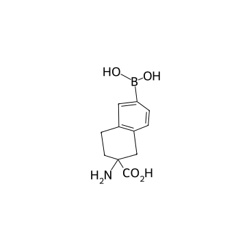 NC1(C(=O)O)CCc2cc(B(O)O)ccc2C1